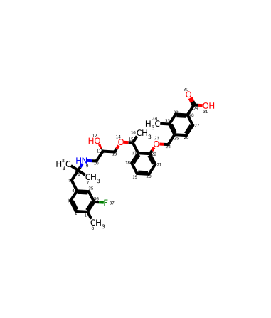 Cc1ccc(CC(C)(C)NC[C@@H](O)COC(C)c2ccccc2OCc2ccc(C(=O)O)cc2C)cc1F